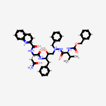 CC(C)[C@H](NC(=O)OCc1ccccc1)C(=O)NN(Cc1ccccc1)CC(O)C(Cc1ccccc1)NC(=O)[C@H](CC(N)=O)NC(=O)c1ccc2ccccc2n1